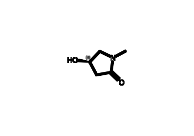 CN1C[C@H](O)CC1=O